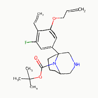 C=CCOc1cc(C23CCC(CNC2)N3C(=O)OC(C)(C)C)cc(F)c1C=C